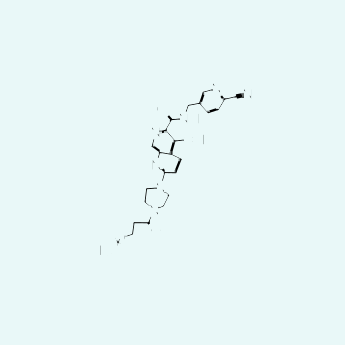 COCCC(=O)N1CCN(c2ccc3c(O)c(C(=O)NCc4ccc(C#N)nc4)ncc3n2)CC1